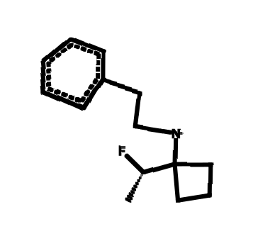 C[C@H](F)C1([N]CCc2ccccc2)CCC1